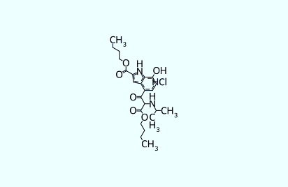 CCCCOC(=O)c1cc2c(C(=O)C(NC(C)C)C(=O)OCCCC)ccc(O)c2[nH]1.Cl